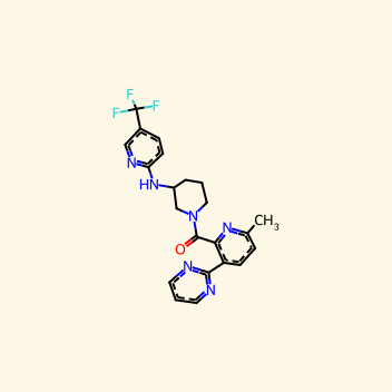 Cc1ccc(-c2ncccn2)c(C(=O)N2CCCC(Nc3ccc(C(F)(F)F)cn3)C2)n1